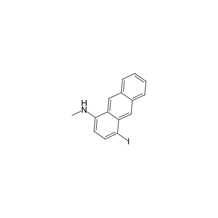 CNc1ccc(I)c2cc3ccccc3cc12